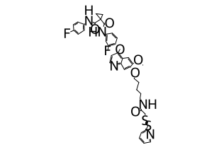 COc1cc2c(Oc3ccc(NC(=O)C4(C(=O)Nc5ccc(F)cc5)CC4)cc3F)ccnc2cc1OCCCCCNC(=O)CSSc1ccccn1